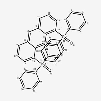 O=P(c1ccccc1)(c1ccccc1)c1cccc2cc3cccc(P(=O)(c4ccccc4)c4ccccc4)c3cc12